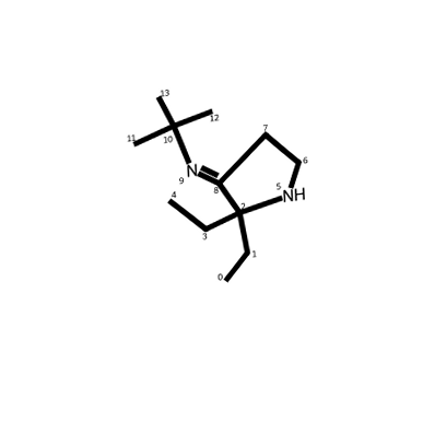 CCC1(CC)NCCC1=NC(C)(C)C